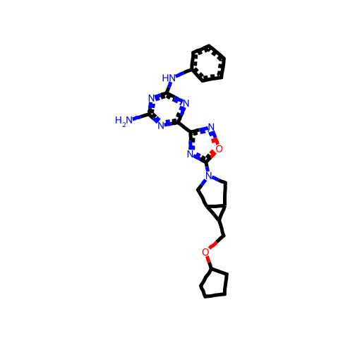 Nc1nc(Nc2ccccc2)nc(-c2noc(N3CC4C(COC5CCCC5)C4C3)n2)n1